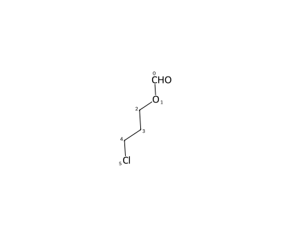 O=COCCCCl